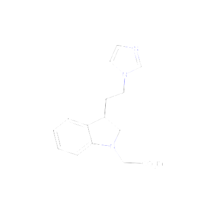 CCOC(=O)CN1CC(CCn2ccnc2)c2ccccc21